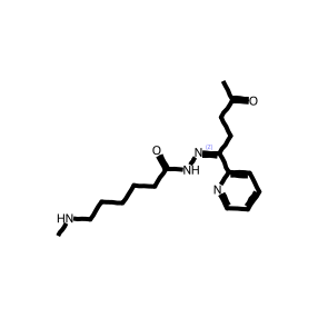 CNCCCCCC(=O)N/N=C(/CCC(C)=O)c1ccccn1